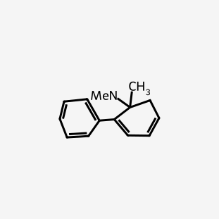 CNC1(C)CC=CC=C1c1ccccc1